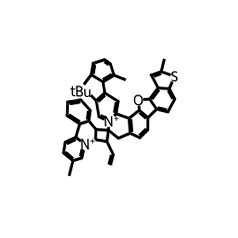 C=CC1C2C(c3ccccc3-c3ccc(C)c[n+]32)C12Cc1ccc3c(oc4c5cc(C)sc5ccc34)c1-c1cc(-c3c(C)cccc3C)c(C(C)(C)C)c[n+]12